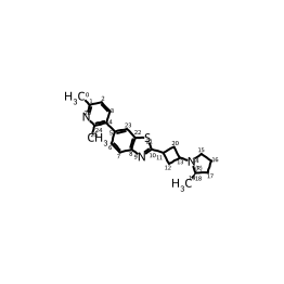 Cc1ccc(-c2ccc3nc(C4CC(N5CCC[C@H]5C)C4)sc3c2)c(C)n1